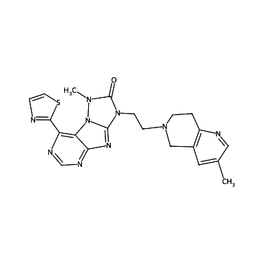 Cc1cnc2c(c1)CN(CCn1c(=O)n(C)n3c4c(-c5nccs5)ncnc4nc13)CC2